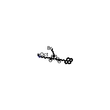 CCCCCCCC/C=C\CCCCCCCC(=O)OC[C@@H](COC(=O)CCCc1ccc2ccc3cccc4ccc1c2c34)OC(=O)CCCCCBr